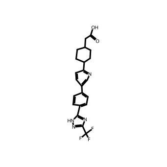 O=C(O)CC1CCC(c2ccc(-c3ccc(-c4nc(C(F)(F)F)n[nH]4)cc3)cn2)CC1